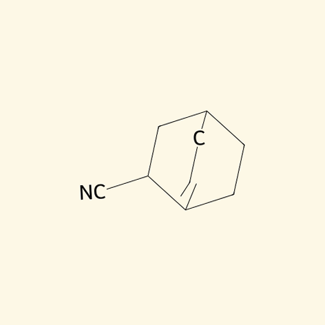 N#CC1CC2CC=C1CC2